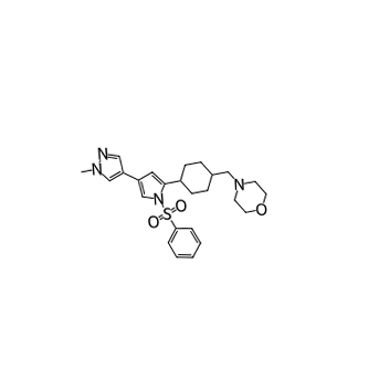 Cn1cc(-c2cc(C3CCC(CN4CCOCC4)CC3)n(S(=O)(=O)c3ccccc3)c2)cn1